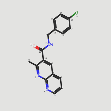 Cc1nc2ncccc2cc1C(=O)NCc1ccc(Cl)cc1